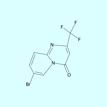 O=c1cc(C(F)(F)F)nc2ccc(Br)cn12